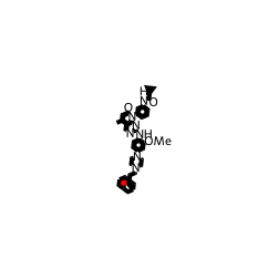 COc1cc(N2CCN(CCC34CC5CC(CC(C5)C3)C4)CC2)ccc1Nc1ncc2c(C)cc(=O)n(-c3cccc(NC(=O)C4CC4)c3)c2n1